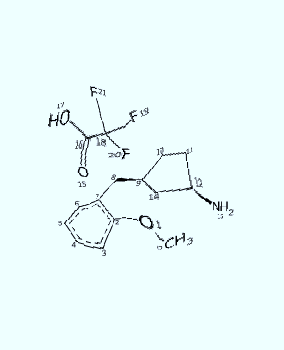 COc1ccccc1C[C@H]1CC[C@@H](N)C1.O=C(O)C(F)(F)F